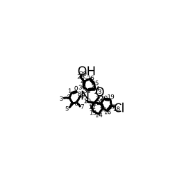 C=CC(C)C(C)C(C)CN1CC2(CCCc3cc(Cl)ccc32)COc2ccc(CO)cc21